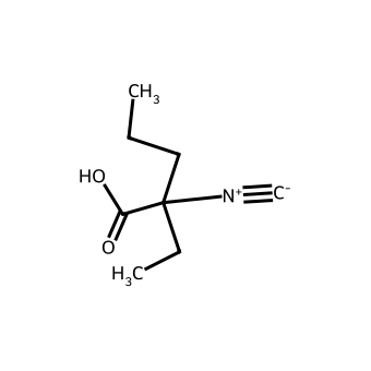 [C-]#[N+]C(CC)(CCC)C(=O)O